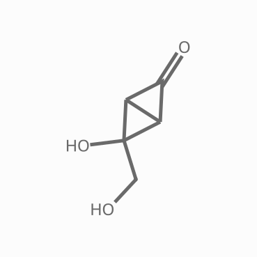 O=C1C2C1C2(O)CO